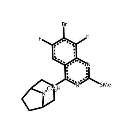 CSc1nc(N2CC3CCC(C2)N3C(=O)O)c2cc(F)c(Br)c(F)c2n1